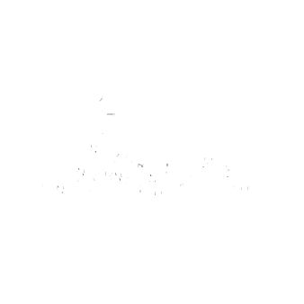 CC(=O)CC(=O)OCC1=C(C(=O)O)N2C(=O)[C@@H](NC(=O)/C(=N\OCc3ccccc3)c3csc(N)n3)[C@H]2SC1